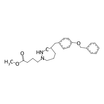 COC(=O)CCCN1CCCC(Cc2ccc(OCc3ccccc3)cc2)CN1